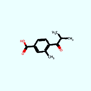 Cc1cc(C(=O)O)ccc1C(=O)C(C)C